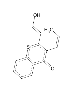 C/C=C\c1c(C=CO)sc2ccccc2c1=O